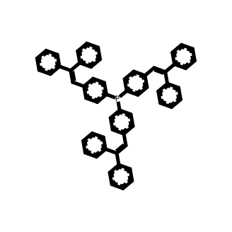 C(=C(c1ccccc1)c1ccccc1)c1ccc(P(c2ccc(C=C(c3ccccc3)c3ccccc3)cc2)c2ccc(C=C(c3ccccc3)c3ccccc3)cc2)cc1